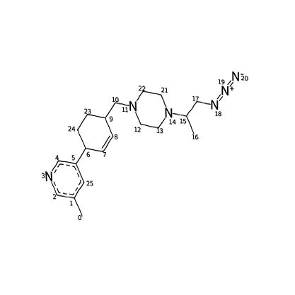 Cc1cncc(C2C=CC(CN3CCN(C(C)CN=[N+]=[N-])CC3)CC2)c1